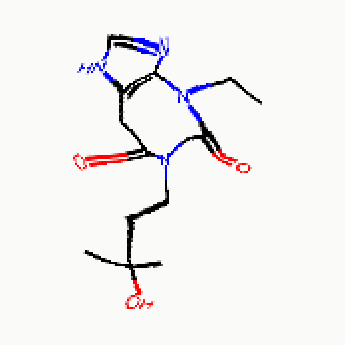 CCn1c(=O)n(CCC(C)(C)O)c(=O)c2[nH]cnc21